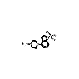 CC(C)[Si](C(C)C)(C(C)C)n1ccc2c(N3CCN(C)CC3)cccc21